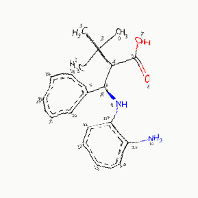 CC(C)(C)C(C(=O)O)[C@@H](Nc1ccccc1N)c1ccccc1